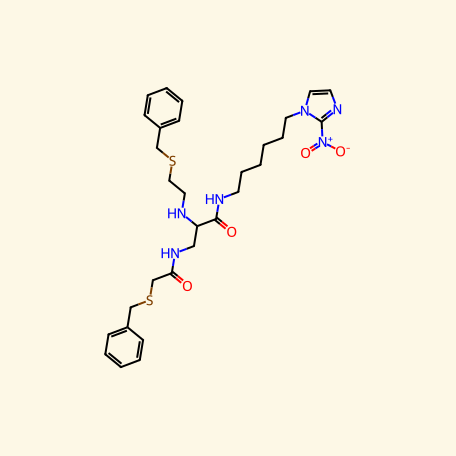 O=C(CSCc1ccccc1)NCC(NCCSCc1ccccc1)C(=O)NCCCCCCn1ccnc1[N+](=O)[O-]